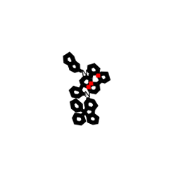 c1ccc(-c2ccc(N(c3ccc4c(c3)C(c3ccccc3)(c3ccccc3)c3ccccc3-4)c3ccccc3-c3ccc4c5ccccc5n(-c5ccc6ccccc6c5)c4c3)cc2)cc1